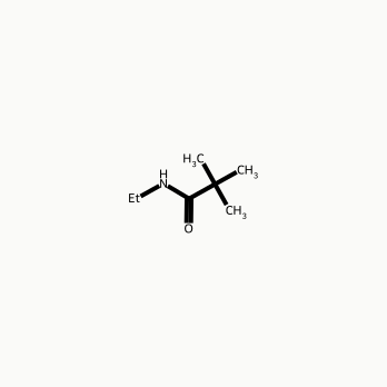 CCNC(=O)C(C)(C)C